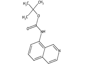 CC(C)(C)OC(=O)Nc1cccc2ccncc12